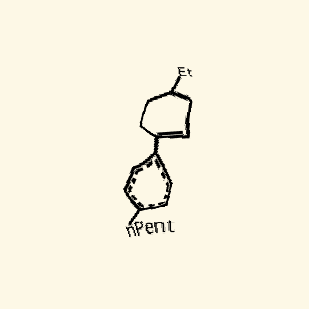 CCCCCc1ccc(C2=CCC(CC)CC2)cc1